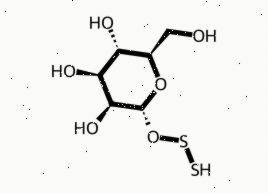 OC[C@H]1O[C@H](OSS)[C@@H](O)[C@@H](O)[C@@H]1O